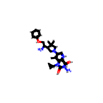 Cc1c(N2CC(C(N)COc3ccccc3)C(C)(C)C2)cnc2c(=O)n(N)c(=O)n(C3CC3)c12